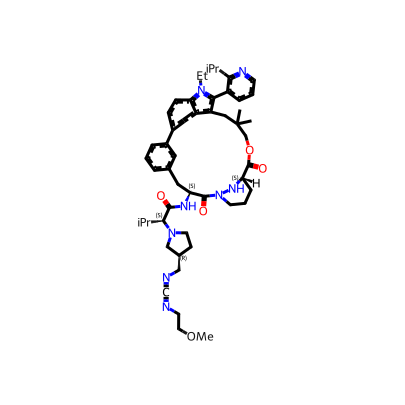 CCn1c(-c2cccnc2C(C)C)c2c3cc(ccc31)-c1cccc(c1)C[C@H](NC(=O)[C@H](C(C)C)N1CC[C@@H](CN=C=NCCOC)C1)C(=O)N1CCC[C@H](N1)C(=O)OCC(C)(C)C2